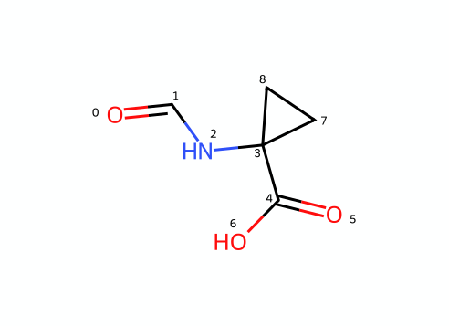 O=CNC1(C(=O)O)CC1